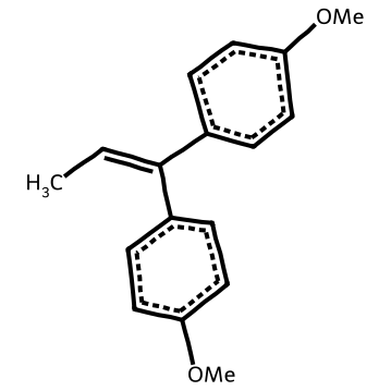 CC=C(c1ccc(OC)cc1)c1ccc(OC)cc1